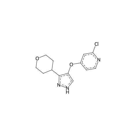 Clc1cc(Oc2c[nH]nc2C2CCOCC2)ccn1